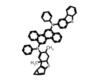 CC1CC2SC3=C(C4CC4=C3)C2(C)C=C1N(c1ccccc1)c1cc2c3ccccc3c(N(c3ccc4c(c3)C3C=CC=CC3S4)C3C=CC=CC3)cc2c2ccccc12